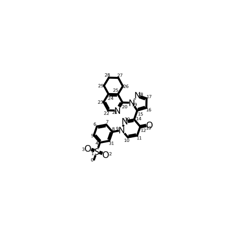 CS(=O)(=O)c1cccc(-n2ccc(=O)c(-c3ccnn3-c3nccc4c3CCCC4)n2)c1